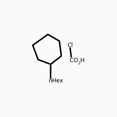 CCCCCCC1CCCCC1.O=C(O)Cl